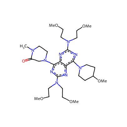 COCCN(CCOC)c1nc(N2CCN(C)C(=O)C2)c2nc(N(CCOC)CCOC)nc(N3CCC(OC)CC3)c2n1